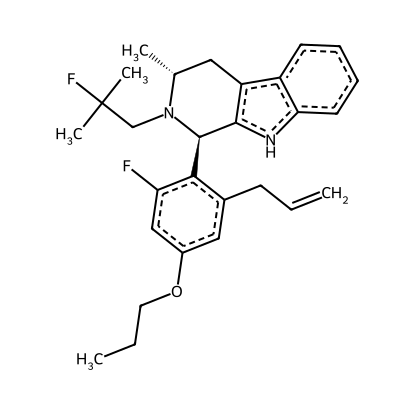 C=CCc1cc(OCCC)cc(F)c1[C@@H]1c2[nH]c3ccccc3c2C[C@@H](C)N1CC(C)(C)F